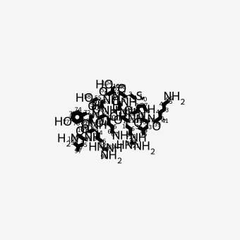 CSCC[C@H](NC(=O)[C@H](CO)NC(=O)[C@H](CCCNC(=N)N)NC(=O)C1CCCN1C(=O)[C@H](CC(C)C)NC(=O)[C@@H](C)CCCCN)C(=O)N[C@H](C(=O)N[C@@H](CC(=O)O)C(=O)N[C@@H](CCCCN)C(=O)N[C@@H](Cc1ccc(O)cc1)C(=O)N[C@@H](CCCNC(=N)N)C(=O)N[C@@H](CC(C)C)C(N)=O)[C@@H](C)O